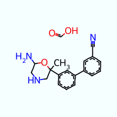 CC1(c2cccc(-c3cccc(C#N)c3)c2)CNCC(N)O1.O=CO